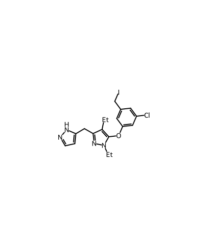 CCc1c(Cc2ccn[nH]2)nn(CC)c1Oc1cc(Cl)cc(CI)c1